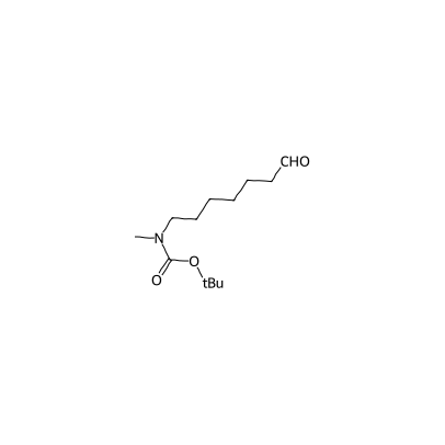 CN(CCCCCCC=O)C(=O)OC(C)(C)C